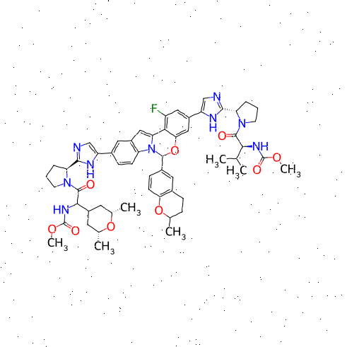 COC(=O)NC(C(=O)N1CCC[C@H]1c1ncc(-c2ccc3c(c2)cc2n3C(c3ccc4c(c3)CCC(C)O4)Oc3cc(-c4cnc([C@@H]5CCCN5C(=O)[C@@H](NC(=O)OC)C(C)C)[nH]4)cc(F)c3-2)[nH]1)C1C[C@@H](C)O[C@@H](C)C1